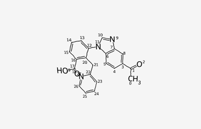 CC(=O)c1ccc2c(c1)ncn2-c1cccc(C(=O)O)c1Cc1ccccn1